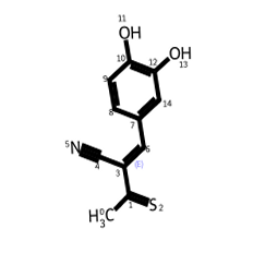 CC(=S)/C(C#N)=C/c1ccc(O)c(O)c1